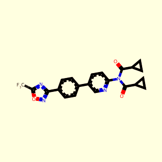 O=C(C1CC1)N(C(=O)C1CC1)c1ccc(-c2ccc(-c3noc(C(F)(F)F)n3)cc2)cn1